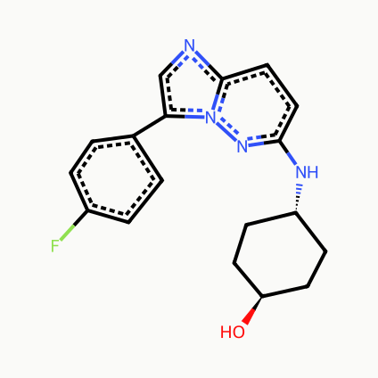 O[C@H]1CC[C@H](Nc2ccc3ncc(-c4ccc(F)cc4)n3n2)CC1